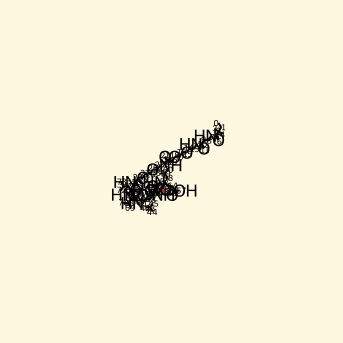 CCC(C)(C)C(=O)NCCC(=O)NCCOCCOCC(=O)NCCOCCOCC(=O)N[C@H](C(=O)N[C@H](C(=O)N[C@@H](CC(C)C)[C@@H](O)CC(=O)N[C@@H](C)C(=O)N[C@@H](CC(C)C)[C@@H](O)CC(=O)O)C(C)C)C(C)C